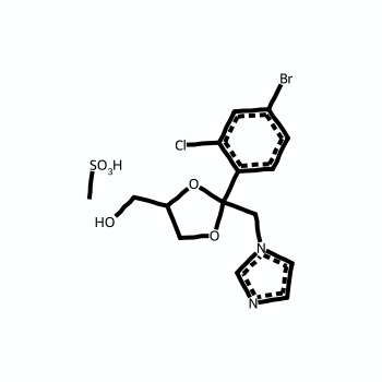 CS(=O)(=O)O.OCC1COC(Cn2ccnc2)(c2ccc(Br)cc2Cl)O1